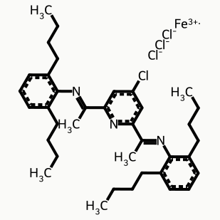 CCCCc1cccc(CCCC)c1N=C(C)c1cc(Cl)cc(C(C)=Nc2c(CCCC)cccc2CCCC)n1.[Cl-].[Cl-].[Cl-].[Fe+3]